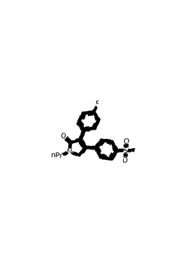 CCCN1CC(c2ccc(S(C)(=O)=O)cc2)=C(c2ccc(F)cc2)C1=O